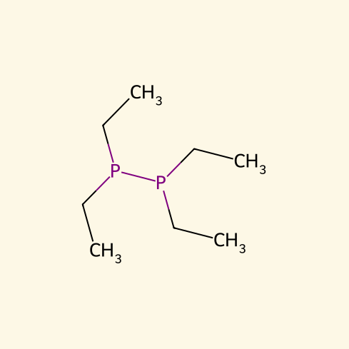 CCP(CC)P(CC)CC